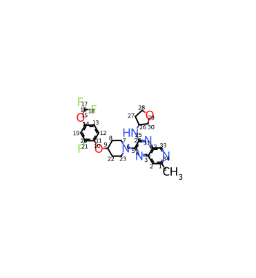 Cc1cc2nc(N3CCC(Oc4ccc(OC(F)F)cc4F)CC3)c(N[C@H]3CCOC3)nc2cn1